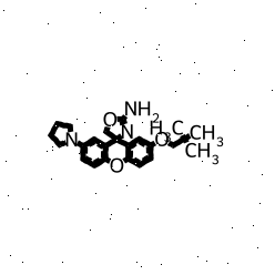 CC(C)(C)COc1ccc2c(c1)C1(COC(N)=N1)c1cc(N3CCCC3)ccc1O2